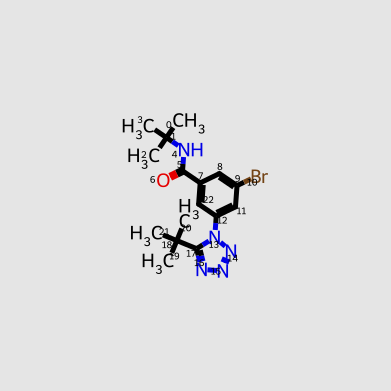 CC(C)(C)NC(=O)c1cc(Br)cc(-n2nnnc2C(C)(C)C)c1